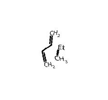 C=CC=C.CCC